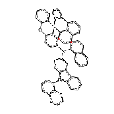 c1ccc2c(c1)Oc1ccc(N(c3ccc4c(c3)c3ccccc3n4-c3cccc4ccccc34)c3cccc4ccccc34)cc1C21c2ccccc2-c2cccc3cccc1c23